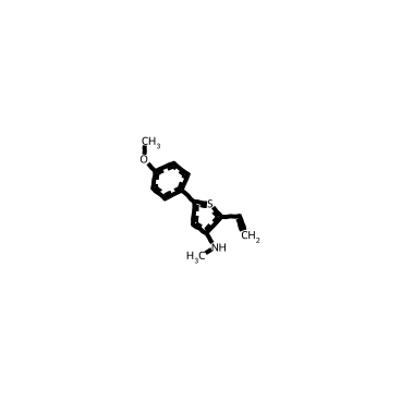 C=Cc1sc(-c2ccc(OC)cc2)cc1NC